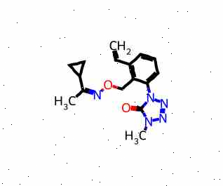 C=Cc1cccc(-n2nnn(C)c2=O)c1CON=C(C)C1CC1